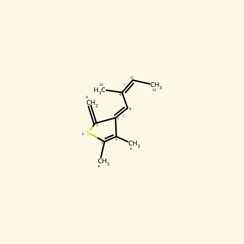 C=c1sc(C)c(C)/c1=C/C(C)=C\C